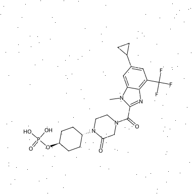 Cn1c(C(=O)N2CCN([C@H]3CC[C@H](OP(=O)(O)O)CC3)C(=O)C2)nc2c(C(F)(F)F)cc(C3CC3)cc21